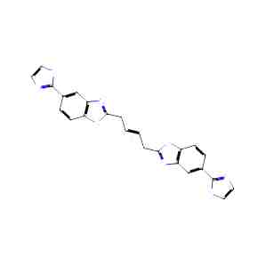 C(=C\Cc1nc2cc(-c3ncc[nH]3)ccc2[nH]1)/Cc1nc2cc(-c3ncc[nH]3)ccc2[nH]1